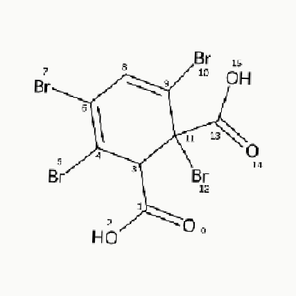 O=C(O)C1C(Br)=C(Br)C=C(Br)C1(Br)C(=O)O